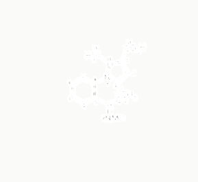 CNC(=O)c1ccccc1-n1c(C)cc(C(=O)O)c1C